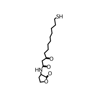 O=C(CCCCCCCCCS)CC(=O)NC1CCOC1=O